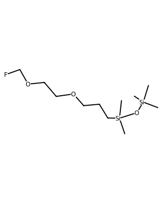 C[Si](C)(C)O[Si](C)(C)CCCOCCOCF